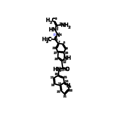 C=C(N)N/N=C(\C)c1ccc2[nH]c(C(=O)Nc3ccc4cccnc4c3)cc2c1